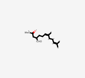 COC(=O)CC(C=O)CCC=C(C)CCC=C(C)C